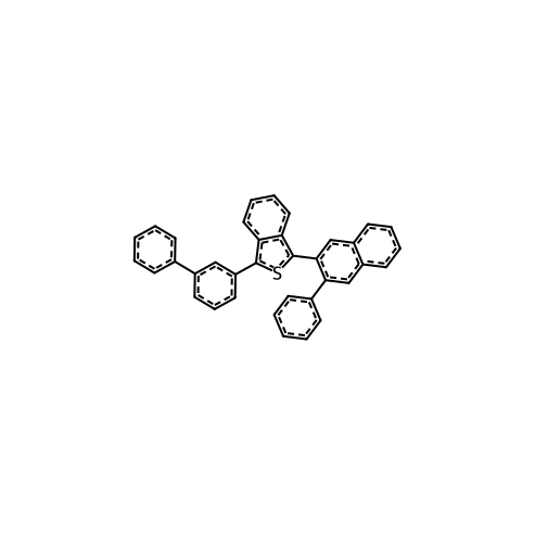 c1ccc(-c2cccc(-c3sc(-c4cc5ccccc5cc4-c4ccccc4)c4ccccc34)c2)cc1